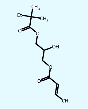 C/C=C/C(=O)OCC(O)COC(=O)C(C)(C)CC